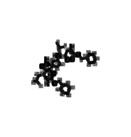 CC(C)C[C@H](NC(=O)OCc1ccccc1)C(=O)N[C@H]1CC[C@](O)(NC(=O)[C@H](CC(C)C)NC(=O)OCc2ccccc2)C1